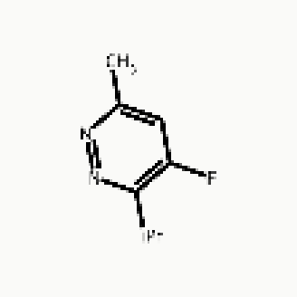 Cc1cc(F)c(C(C)C)nn1